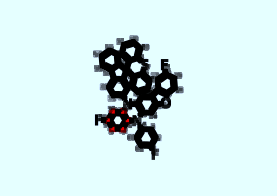 Fc1ccc(N(c2ccc(F)cc2)c2cc3oc4ccc(F)cc4c3cc2N(c2ccccc2)c2ccc3c(c2)C2(c4ccccc4Sc4ccccc42)c2ccccc2-3)cc1